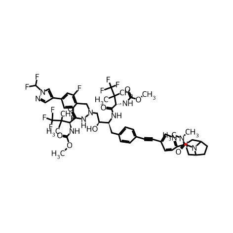 COC(=O)N[C@H](C(=O)N[C@@H](Cc1ccc(C#Cc2ccc(N3CC4CCC(C3)N4C(=O)N(C)C)nc2)cc1)[C@@H](O)CN(Cc1c(F)cc(-c2cnn(C(F)F)c2)cc1F)NC(=O)[C@@H](NC(=O)OC)C(C)(C)C(F)(F)F)C(C)(C)C(F)(F)F